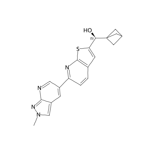 Cn1cc2cc(-c3ccc4cc([C@@H](O)C56CC(C5)C6)sc4n3)cnc2n1